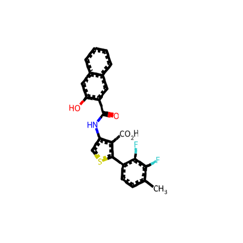 Cc1ccc(-c2scc(NC(=O)c3cc4ccccc4cc3O)c2C(=O)O)c(F)c1F